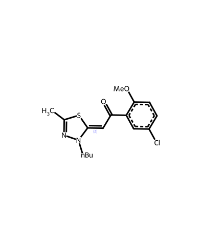 CCCCN1N=C(C)S/C1=C\C(=O)c1cc(Cl)ccc1OC